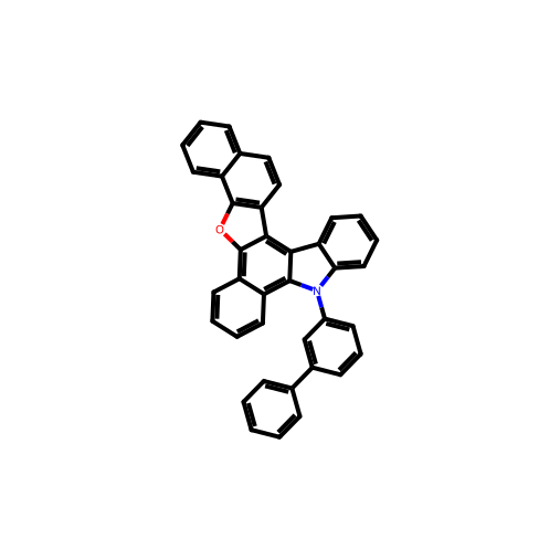 c1ccc(-c2cccc(-n3c4ccccc4c4c5c6ccc7ccccc7c6oc5c5ccccc5c43)c2)cc1